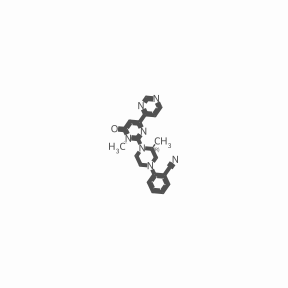 C[C@@H]1CN(c2ccccc2C#N)CCN1c1nc(-c2ccncn2)cc(=O)n1C